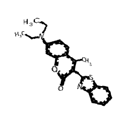 CCN(CC)c1ccc2c(C)c(-c3nc4ccccc4s3)c(=O)oc2c1